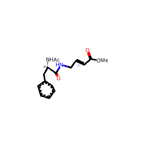 COC(=O)/C=C/CNC(=O)[C@H](Cc1ccccc1)NC(C)=O